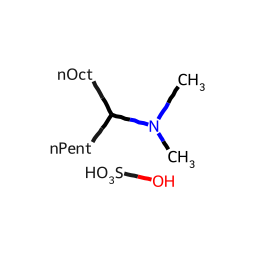 CCCCCCCCC(CCCCC)N(C)C.O=S(=O)(O)O